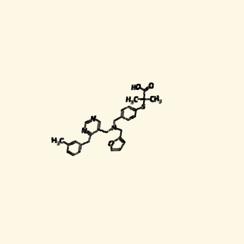 Cc1cccc(Cc2ncncc2CN(Cc2ccc(SC(C)(C)C(=O)O)cc2)Cc2ccco2)c1